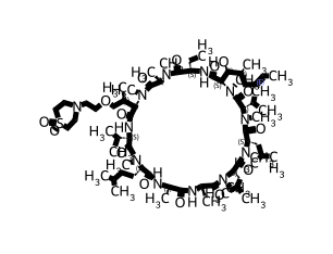 C/C=C/C[C@@H](C)[C@@H](O)[C@H]1C(=O)N[C@@H](CC)C(=O)N(C)[C@H](C)C(=O)N(C)[C@@H]([C@H](C)COCCN2CCS(=O)(=O)CC2)C(=O)N[C@@H](C(C)C)C(=O)N(C)[C@@H](CCC(C)C)C(=O)N[C@@H](C)C(=O)N[C@H](C)C(=O)N(C)[C@@H](CC(C)C)C(=O)N(C)[C@@H](CC(C)C)C(=O)N(C)[C@@H](C(C)C)C(=O)N1C